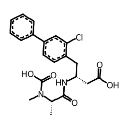 C[C@@H](C(=O)N[C@@H](CC(=O)O)Cc1ccc(-c2ccccc2)cc1Cl)N(C)C(=O)O